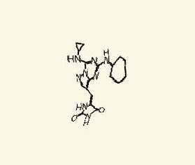 O=C1NC(=O)/C(=C/c2cnn3c(NC4CC4)nc(NC4CCCCC4)nc23)N1